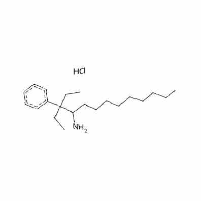 CCCCCCCCCC(N)C(CC)(CC)c1ccccc1.Cl